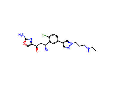 CCNCCCn1cc(-c2ccc(Cl)c(C(=N)CC(=O)c3coc(N)n3)c2)cn1